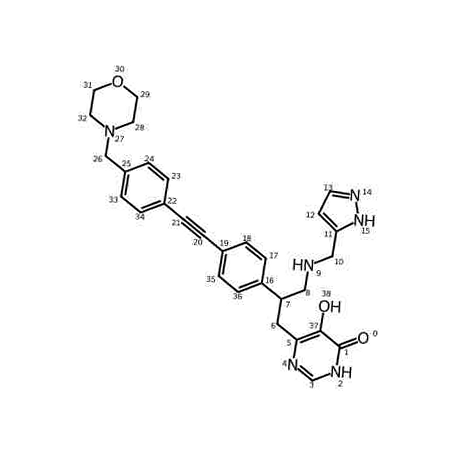 O=c1[nH]cnc(CC(CNCc2ccn[nH]2)c2ccc(C#Cc3ccc(CN4CCOCC4)cc3)cc2)c1O